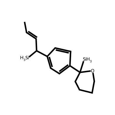 CC=CC([SiH3])c1ccc(C2([SiH3])CCCCO2)cc1